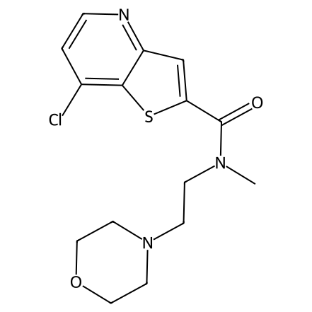 CN(CCN1CCOCC1)C(=O)c1cc2nccc(Cl)c2s1